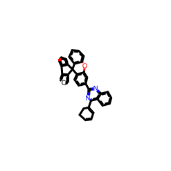 C1=CCCC(c2nc(-c3ccc4c(c3)Oc3ccccc3C43c4ccccc4-c4ccccc43)nc3ccccc23)=C1